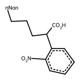 CCCCCCCCCCCCC(C(=O)O)c1ccccc1[N+](=O)[O-]